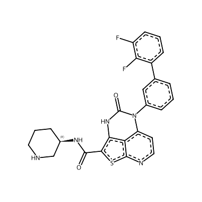 O=C(N[C@@H]1CCCNC1)c1sc2nccc3c2c1NC(=O)N3c1cccc(-c2cccc(F)c2F)c1